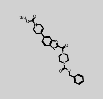 CC(C)(C)OC(=O)N1CC=C(c2ccc3sc(C(=O)N4CCN(C(=O)OCc5ccccc5)CC4)nc3c2)CC1